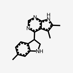 Cc1ccc2c(c1)NCC2c1ncnc2[nH]c(C)c(C)c12